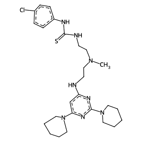 CN(CCNC(=S)Nc1ccc(Cl)cc1)CCNc1cc(N2CCCCC2)nc(N2CCCCC2)n1